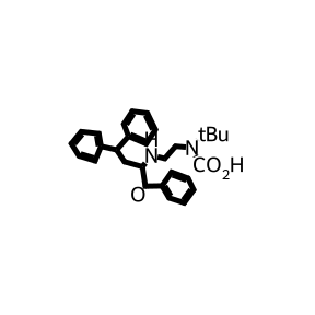 CC(C)(C)N(CCNC(CC(c1ccccc1)c1ccccc1)C(=O)c1ccccc1)C(=O)O